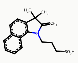 C=C1N(CCCS(=O)(=O)O)c2c(ccc3ccccc23)C1(C)C